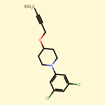 CCOC(=O)C#CCOC1CCN(c2cc(Cl)cc(Cl)c2)CC1